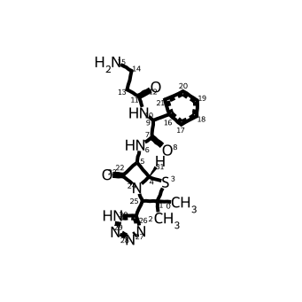 CC1(C)S[C@H]2C(NC(=O)C(NC(=O)CCN)c3ccccc3)C(=O)N2C1c1nnn[nH]1